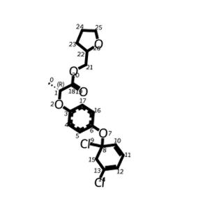 C[C@@H](Oc1ccc(OC2(Cl)C=CC=C(Cl)C2)cc1)C(=O)OCC1CCCO1